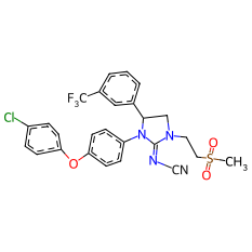 CS(=O)(=O)CCN1CC(c2cccc(C(F)(F)F)c2)N(c2ccc(Oc3ccc(Cl)cc3)cc2)C1=NC#N